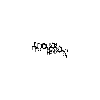 CCOC(=O)C1CCN(c2ncnc(Nc3cccc(OC(F)(F)C(F)F)c3)c2[N+](=O)[O-])CC1